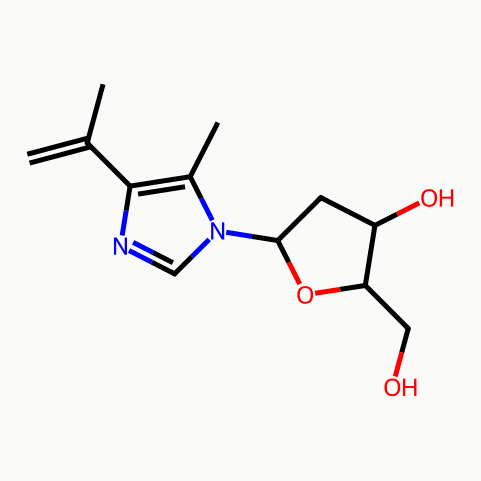 C=C(C)c1ncn(C2CC(O)C(CO)O2)c1C